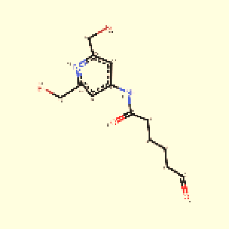 O=CCCCCC(=O)Nc1cc(CBr)nc(CBr)c1